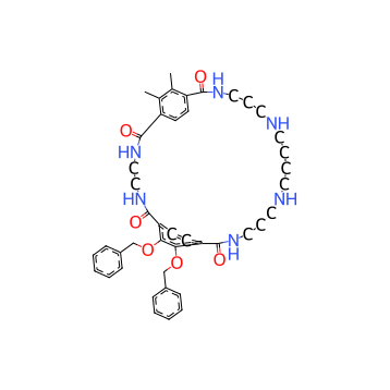 Cc1c2ccc(c1C)C(=O)NCCNC(=O)c1ccc(c(OCc3ccccc3)c1OCc1ccccc1)C(=O)NCCCNCCCCNCCCNC2=O